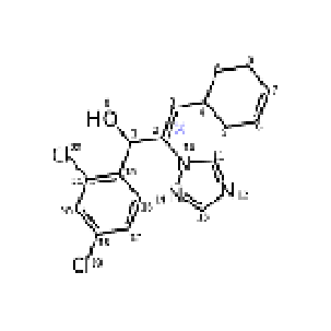 OC(/C(=C/C1CC=CCC1)n1cncn1)c1ccc(Cl)cc1Cl